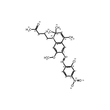 COc1cc2c(cc1/N=N/c1ccc([N+](=O)[O-])cc1Cl)C(C)=CC(C)(C)N2CCCC(C)=O